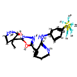 CC1(c2nnc(-c3cccnc3Nc3ccc(S(F)(F)(F)(F)F)cc3)o2)CCNC1=O